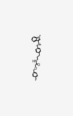 CN(Cc1ccc(CCCNC(=O)COCc2ccc(F)cc2)cc1)c1cn(C)c2ccccc12